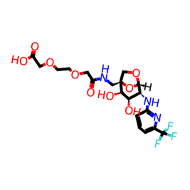 O=C(O)COCCOCC(=O)NC[C@@]12CO[C@@H](O1)[C@H](Nc1cccc(C(F)(F)F)n1)[C@@H](O)[C@H]2O